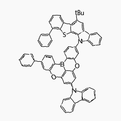 CC(C)(C)c1cc2c3ccccc3n(-c3ccc4c(c3)Oc3cc(-n5c6ccccc6c6ccccc65)cc5c3B4c3ccc(-c4ccccc4)cc3O5)c2c2sc3c(-c4ccccc4)cccc3c12